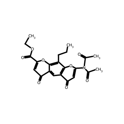 CCCc1c2oc(C(=O)OCC)cc(=O)c2cc2c(=O)cc(N(C(C)=O)C(C)=O)oc12